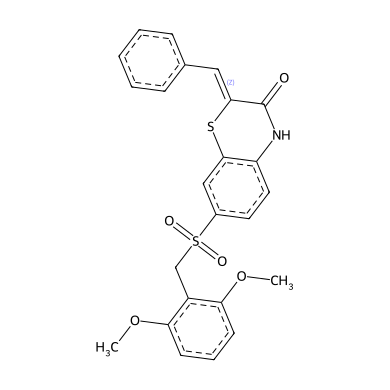 COc1cccc(OC)c1CS(=O)(=O)c1ccc2c(c1)S/C(=C\c1ccccc1)C(=O)N2